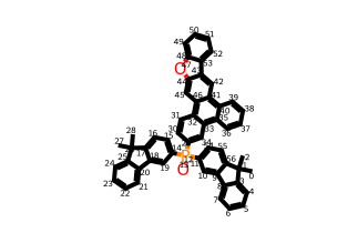 CC1(C)c2ccccc2-c2cc(P(=O)(c3ccc4c(c3)-c3ccccc3C4(C)C)c3ccc4c(c3)c3ccccc3c3cc5c(cc43)oc3ccccc35)ccc21